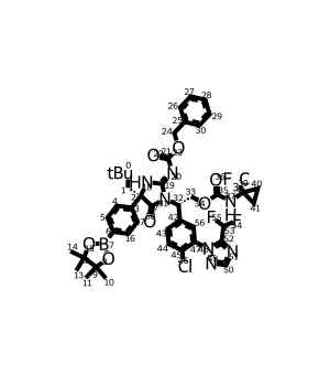 CC(C)(C)C[C@]1(c2ccc(B3OC(C)(C)C(C)(C)O3)cc2)NC(=NC(=O)OCc2ccccc2)N([C@H](COC(=O)NC2(C(F)(F)F)CC2)c2ccc(Cl)c(-n3ncnc3C(F)F)c2)C1=O